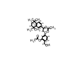 CC(=O)Oc1cc(OCC(OC(C)=O)c2ccc3c(c2)C(C)(C)CCC3(C)C)ccc1CO